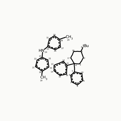 CC(C)(C)C1CCC(c2ccccc2)(c2ccccc2)CC1.Cc1ccc(Nc2ccc(C)cc2)cc1